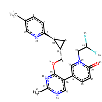 Cc1ccc([C@H]2C[C@@H]2COc2nc(C)ncc2-c2ccc(=O)n(CC(F)F)c2)nc1